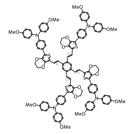 COc1ccc(N(c2ccc(OC)cc2)c2ccc(-c3sc(/C=C/c4cc(/C=C/c5sc(-c6ccc(N(c7ccc(OC)cc7)c7ccc(OC)cc7)cc6)c6c5OCCO6)c(/C=C/c5sc(-c6ccc(N(c7ccc(OC)cc7)c7ccc(OC)cc7)cc6)c6c5OCCO6)cc4/C=C/c4sc(-c5ccc(N(c6ccc(OC)cc6)c6ccc(OC)cc6)cc5)c5c4OCCO5)c4c3OCCO4)cc2)cc1